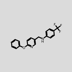 FC(F)(F)c1ccc(NCc2ccc(Oc3cc[c]cc3)nc2)cc1